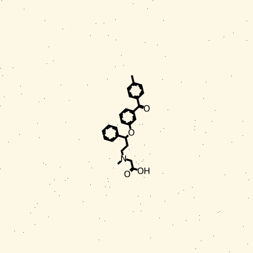 Cc1ccc(C(=O)c2cccc(OC(CCN(C)CC(=O)O)c3ccccc3)c2)cc1